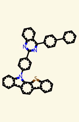 c1ccc(-c2ccc(-c3nc(-c4ccc(-n5c6ccccc6c6ccc7c8ccccc8sc7c65)cc4)nc4ccccc34)cc2)cc1